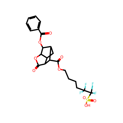 O=C(OC1C2CC3C1OC(=O)C3C2C(=O)OCCCCC(F)(F)C(F)(F)S(=O)(=O)O)c1ccccc1